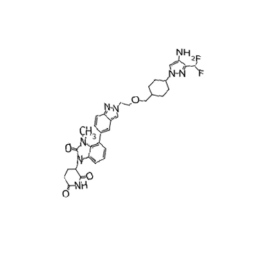 Cn1c(=O)n(C2CCC(=O)NC2=O)c2cccc(-c3ccc4nn(CCOCC5CCC(n6cc(N)c(C(F)F)n6)CC5)cc4c3)c21